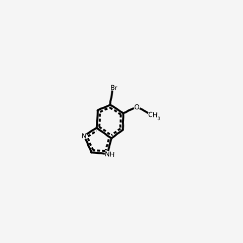 COc1cc2[nH]cnc2cc1Br